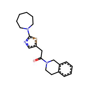 O=C(Cc1cnc(N2CCCCCC2)s1)N1CCc2ccccc2C1